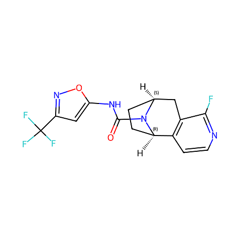 O=C(Nc1cc(C(F)(F)F)no1)N1[C@H]2CC[C@@H]1c1ccnc(F)c1C2